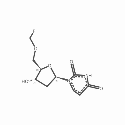 O=c1ccn([C@H]2C[C@H](O)[C@@H](COCF)O2)c(=O)[nH]1